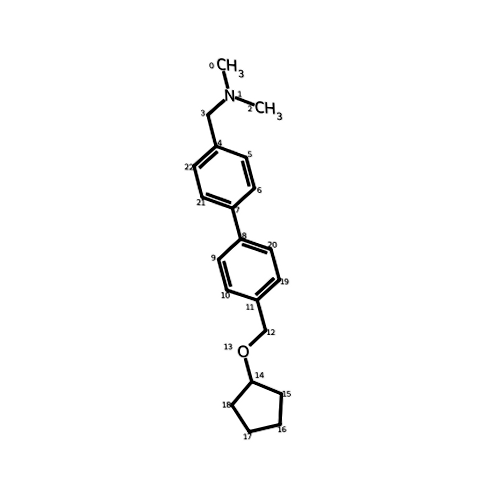 CN(C)Cc1ccc(-c2ccc(COC3CCCC3)cc2)cc1